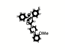 COc1ccccc1N1CCN(C(=O)CN(c2ccc(F)cc2)S(=O)(=O)c2ccccc2)CC1